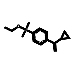 C=C(c1ccc([Si](C)(C)OCC)cc1)C1CC1